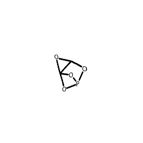 O1C2OC23OP1O3